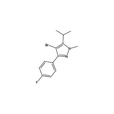 CC(C)c1c(Br)c(-c2ccc(F)cc2)nn1C